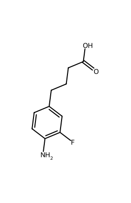 Nc1ccc(CCCC(=O)O)cc1F